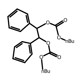 CCCCOC(=O)OC(c1ccccc1)C(OC(=O)OCCCC)c1ccccc1